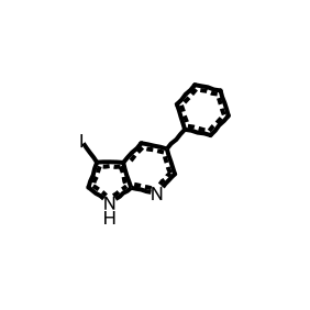 Ic1c[nH]c2ncc(-c3ccccc3)cc12